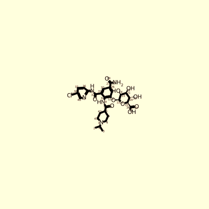 CC(C)N1CCC(C(=O)Nc2c(O[C@@H]3O[C@H](C(=O)O)[C@@H](O)[C@H](O)[C@H]3O)cc(C(N)=O)cc2C(=O)Nc2ccc(Cl)cn2)CC1